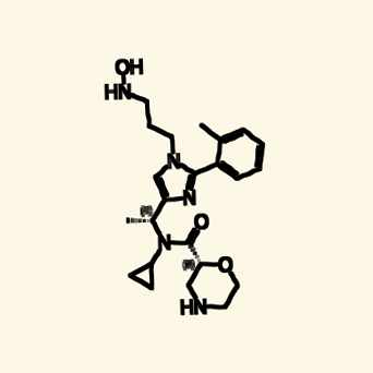 Cc1ccccc1-c1nc([C@@H](C)N(C(=O)[C@H]2CNCCO2)C2CC2)cn1CCCNO